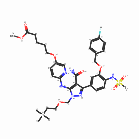 CCS(=O)(=O)Nc1ccc(-c2nn(COCC[Si](C)(C)C)c(Nc3ccc(OCCCCC(=O)OC(C)(C)C)cn3)c2C(N)=O)cc1OCc1ccc(F)cc1